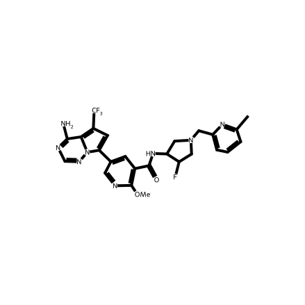 COc1ncc(-c2cc(C(F)(F)F)c3c(N)ncnn23)cc1C(=O)NC1CN(Cc2cccc(C)n2)CC1F